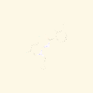 O=C(/N=c1\c(F)cc(F)cn1CC1CC1)c1cccc(C(F)(F)F)c1F